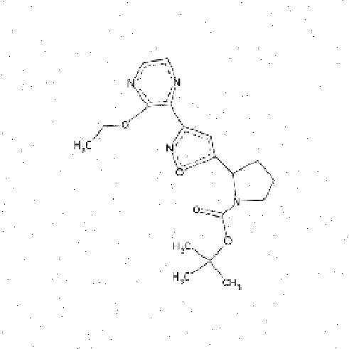 CCOc1nccnc1-c1cc(C2CCCN2C(=O)OC(C)(C)C)on1